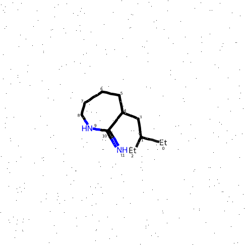 CCC(CC)CC1CCCCNC1=N